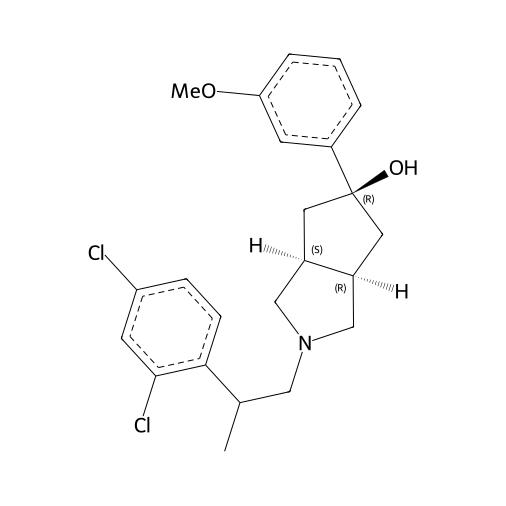 COc1cccc([C@]2(O)C[C@H]3CN(CC(C)c4ccc(Cl)cc4Cl)C[C@H]3C2)c1